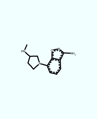 CNC1CCN(c2cccc3c(N)noc23)C1